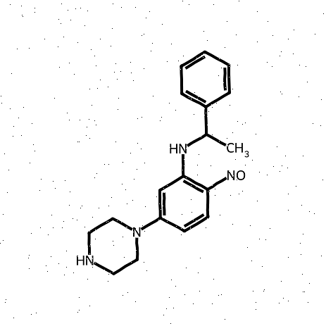 CC(Nc1cc(N2CCNCC2)ccc1N=O)c1ccccc1